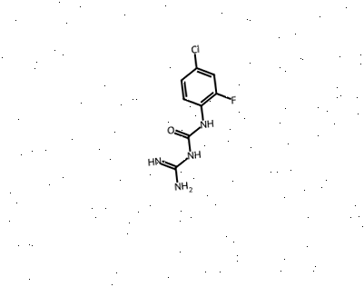 N=C(N)NC(=O)Nc1ccc(Cl)cc1F